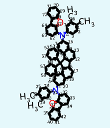 Cc1ccc(N(c2ccc3c4c(ccc3c2)-c2ccc3cc(N(c5ccc(C)c(C)c5)c5cccc6c5oc5ccccc56)ccc3c2C4(c2ccccc2)c2ccccc2)c2cccc3c2oc2ccccc23)cc1C